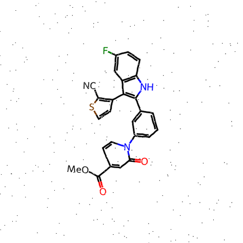 COC(=O)c1ccn(-c2cccc(-c3[nH]c4ccc(F)cc4c3-c3ccsc3C#N)c2)c(=O)c1